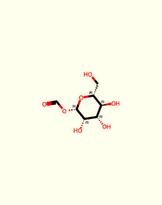 O=CO[C@@H]1O[C@H](CO)[C@@H](O)[C@H](O)[C@@H]1O